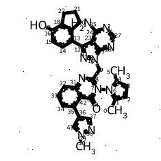 Cc1ccc(C)n1-n1c(Cn2nc(-c3ccc(O)c4c3CCC4)c3c(N)ncnc32)nc2cccc(-c3cnn(C)c3)c2c1=O